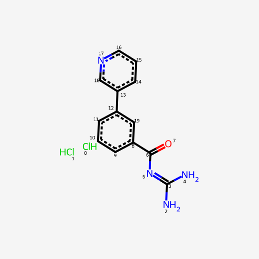 Cl.Cl.NC(N)=NC(=O)c1cccc(-c2cccnc2)c1